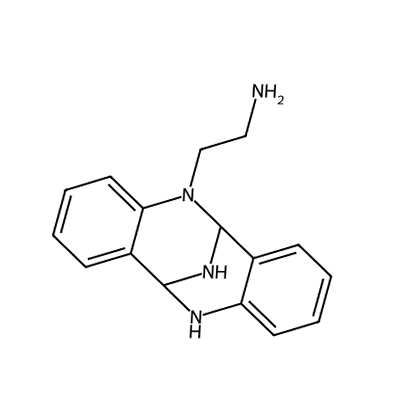 NCCN1c2ccccc2C2Nc3ccccc3C1N2